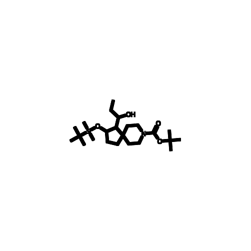 CCC(O)C1C(O[Si](C)(C)C(C)(C)C)CCC12CCN(C(=O)OC(C)(C)C)CC2